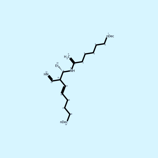 C=C(CCCCCCCCCCCCCCC)N[C@@H](CC)C(C=N)/C=C/CCCCCCCCCCCCC